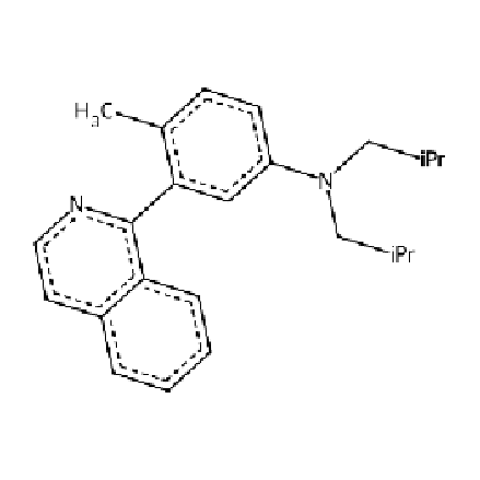 Cc1ccc(N(CC(C)C)CC(C)C)cc1-c1nccc2ccccc12